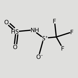 O=[SH](=O)N[S+]([O-])C(F)(F)F